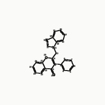 O=c1c(-c2ccccc2)c(Cn2cnc3ccccc32)oc2ccccc12